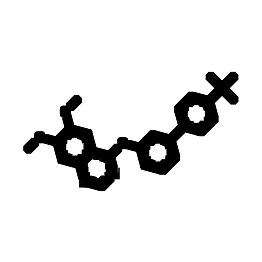 COc1cc2ncnc(Oc3cccc(-c4ccc(C(C)(C)C)cc4)c3)c2cc1OC